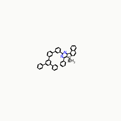 C[SiH]1c2ccc3ccccc3c2-c2nc(-c3cccc(-c4cccc(-c5cc(-c6ccccc6)cc(-c6ccccc6)c5)c4)c3)nc(-c3ccccc3)c21